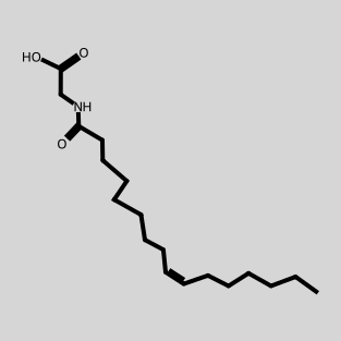 CCCCCC/C=C\CCCCCCCC(=O)NCC(=O)O